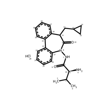 CC(C)[C@H](N)C(=O)NN1C(=O)C(CC2CC2)c2ccccc2-c2ccccc21.Cl